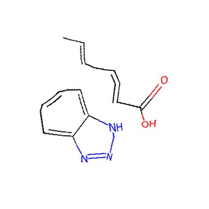 CC=CC=CC(=O)O.c1ccc2[nH]nnc2c1